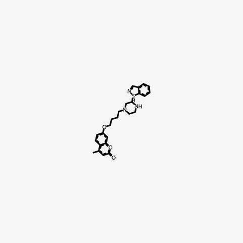 Cc1cc(=O)oc2cc(OCCCCN3CCNC([SH]4N=Cc5ccccc54)C3)ccc12